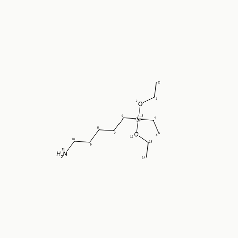 CCO[Si](CC)(CCCCCN)OCC